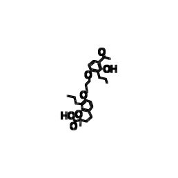 CCCc1c(OCCCOc2ccc3c(c2CCC)OC(C)(C(=O)O)CC3)ccc(C(C)=O)c1O